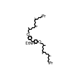 CCNC(c1ccc(OCCC(C)CCC[C@H](C)CCC[C@H](C)CCCC(C)C)cc1)c1ccc(OCCC(C)CCC[C@H](C)CCC[C@H](C)CCCC(C)C)cc1